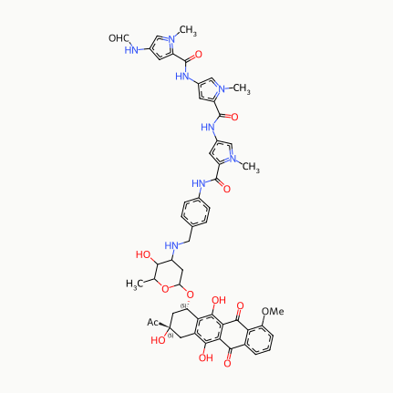 COc1cccc2c1C(=O)c1c(O)c3c(c(O)c1C2=O)C[C@@](O)(C(C)=O)C[C@@H]3OC1CC(NCc2ccc(NC(=O)c3cc(NC(=O)c4cc(NC(=O)c5cc(NC=O)cn5C)cn4C)cn3C)cc2)C(O)C(C)O1